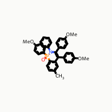 COc1ccc(C2=C(c3ccc(OC)cc3)N(c3ccccc3)P(=O)(c3ccc(OC)cc3)c3ccc(C)cc32)cc1